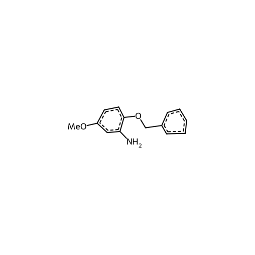 COc1ccc(OCc2ccccc2)c(N)c1